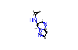 c1cc2ncc(NC3CC3)cn2n1